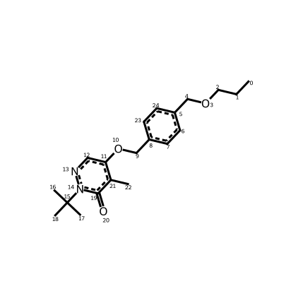 CCCOCc1ccc(COc2cnn(C(C)(C)C)c(=O)c2C)cc1